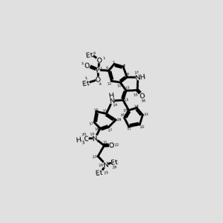 CCOP(=O)(OCC)c1ccc2c(c1)C(=C(Nc1ccc(N(C)C(=O)CN(CC)CC)cc1)c1ccccc1)C(=O)N2